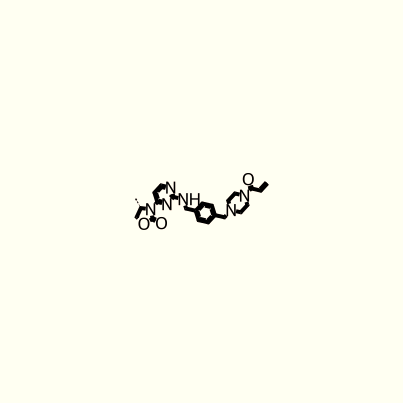 C=CC(=O)N1CCN(Cc2ccc(CNc3nccc(N4C(=O)OC[C@@H]4C)n3)cc2)CC1